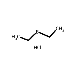 CC[B]CC.Cl